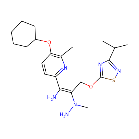 Cc1nc(/C(N)=C(\COc2nc(C(C)C)ns2)N(C)N)ccc1OC1CCCCC1